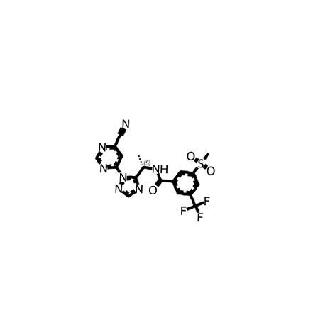 C[C@H](NC(=O)c1cc(C(F)(F)F)cc(S(C)(=O)=O)c1)c1ncnn1-c1cc(C#N)ncn1